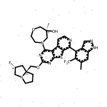 Cc1cc2[nH]ncc2c(-c2nccc3c2sc2nc(OC[C@@]45CCCN4C[C@H](F)C5)nc(N4CCOC[C@@](C)(O)C4)c23)c1C(F)(F)F